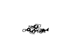 COc1cnc(Cl)cc1-c1cc(Oc2cc(N)cc(Cl)c2)ncc1C(=O)Nc1nn2cc(C3CC3)nc2s1